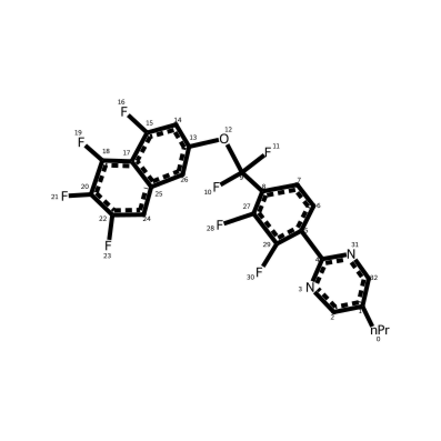 CCCc1cnc(-c2ccc(C(F)(F)Oc3cc(F)c4c(F)c(F)c(F)cc4c3)c(F)c2F)nc1